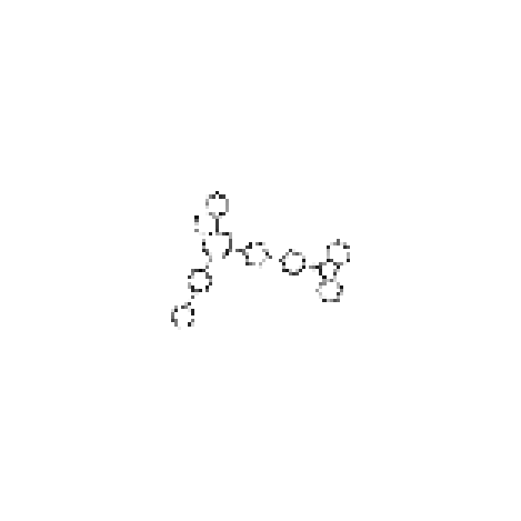 CCC1C=C(c2ccc(-c3ccccc3)cc2)C=C(c2ccc(-c3ccc(-n4c5ccccc5c5ccccc54)cc3)cc2)N=C1c1ccccc1